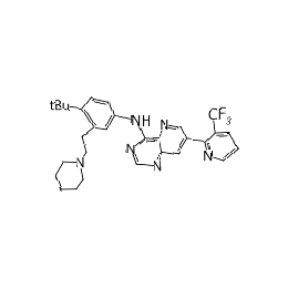 CC(C)(C)c1ccc(Nc2ncnc3cc(-c4ncccc4C(F)(F)F)cnc23)cc1CCN1CCCCC1